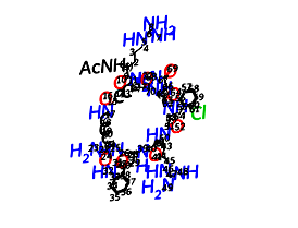 CC(=O)N[C@@H](CCCNC(=N)N)C(=O)N[C@H]1CCC(=O)NCCC[C@@H](C(N)=O)NC(=O)[C@H](Cc2c[nH]c3ccccc23)NC(=O)[C@H](CCCNC(=N)N)NC(=O)[C@@H](Cc2ccccc2Cl)NC(=O)[C@H](CC(N)=O)NC1=O